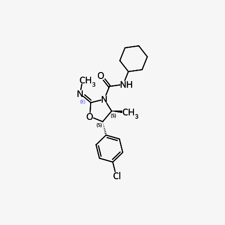 C/N=C1/O[C@@H](c2ccc(Cl)cc2)[C@H](C)N1C(=O)NC1CCCCC1